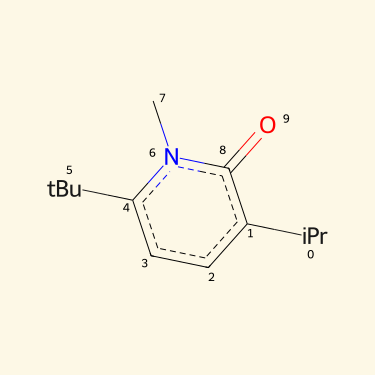 CC(C)c1ccc(C(C)(C)C)n(C)c1=O